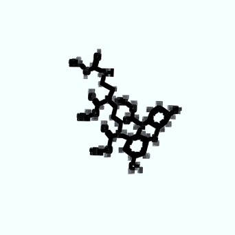 CC(C)(C)OC(=O)NCCN(CCCN(C(=O)OC(C)(C)C)c1cc(C(F)(F)F)cc2c1N(C(=O)OC(C)(C)C)c1ccc(Br)cc1S2)C(=O)OC(C)(C)C